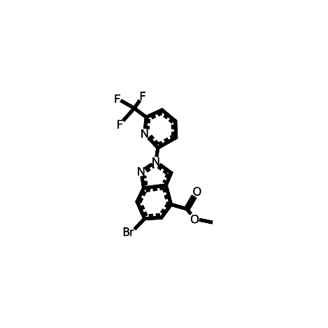 COC(=O)c1cc(Br)cc2nn(-c3cccc(C(F)(F)F)n3)cc12